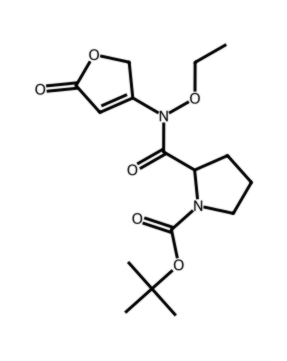 CCON(C(=O)C1CCCN1C(=O)OC(C)(C)C)C1=CC(=O)OC1